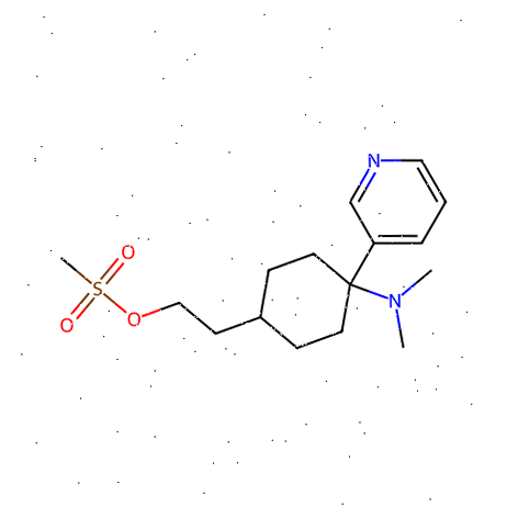 CN(C)C1(c2cccnc2)CCC(CCOS(C)(=O)=O)CC1